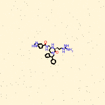 N=C(N)NCCC[C@@H]1N[C@H](CNC(=O)c2ccc3[nH]cnc3c2)CCN(CC(c2ccccc2)c2ccccc2)C1=O